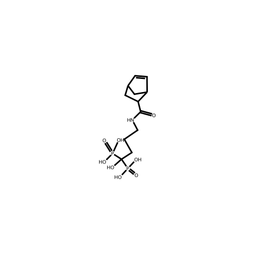 O=C(NCCCC(O)(P(=O)(O)O)P(=O)(O)O)C1CC2C=CC1C2